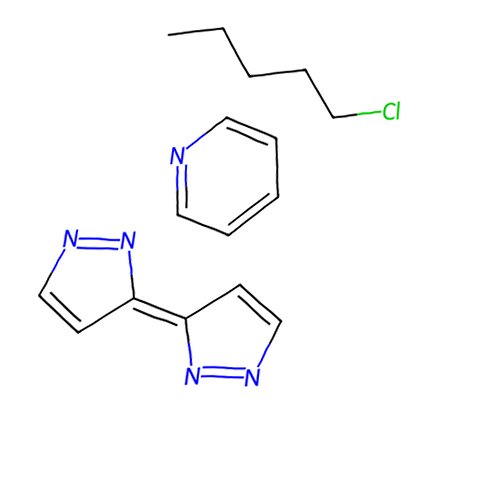 C1=CC(=C2C=CN=N2)N=N1.CCCCCCl.c1ccncc1